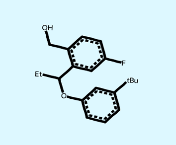 CCC(Oc1cccc(C(C)(C)C)c1)c1cc(F)ccc1CO